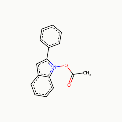 CC(=O)On1c(-c2ccccc2)cc2ccccc21